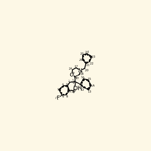 O[C@](Cc1ccc(F)cc1F)(c1ccccc1)[C@@H]1CN(Cc2ccccc2)CCO1